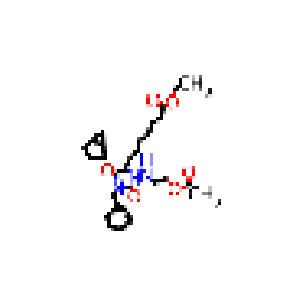 C1CC2CC2C1.CCOC(=O)CCCCCCC1C(=O)N(Cc2ccccc2)C(=O)N1NCCOC(C)=O